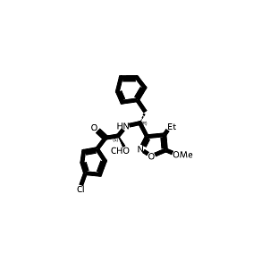 CCc1c([C@@H](Cc2ccccc2)N[C@@H](C=O)C(=O)c2ccc(Cl)cc2)noc1OC